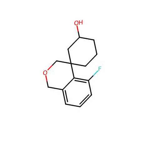 OC1CCCC2(COCc3cccc(F)c32)C1